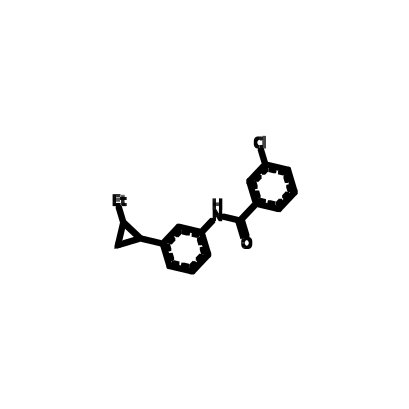 CCC1CC1c1cccc(NC(=O)c2cccc(Cl)c2)c1